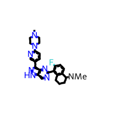 CNC1CCCc2c1ccc(F)c2-c1ncc2[nH]nc(-c3ccc(N4CCN(C)CC4)nc3)c2n1